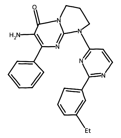 CCc1cccc(-c2nccc(N3CCCn4c3nc(-c3ccccc3)c(N)c4=O)n2)c1